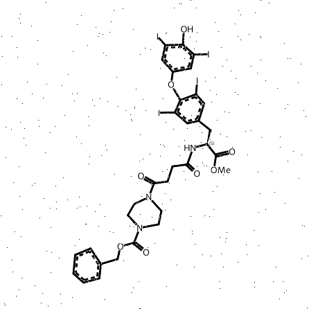 COC(=O)[C@H](Cc1cc(I)c(Oc2cc(I)c(O)c(I)c2)c(I)c1)NC(=O)CCC(=O)N1CCN(C(=O)OCc2ccccc2)CC1